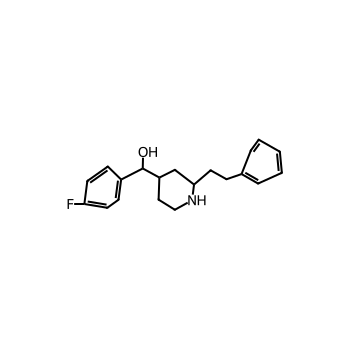 OC(c1ccc(F)cc1)C1CCNC(CCc2ccccc2)C1